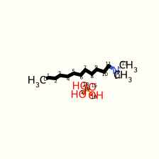 CCCCCCCCCCCCN(C)C.O=P(O)(O)O